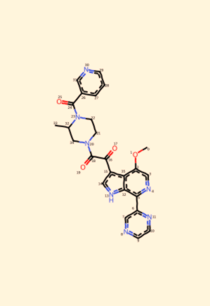 COc1cnc(-c2cnccn2)c2[nH]cc(C(=O)C(=O)N3CCN(C(=O)c4cccnc4)C(C)C3)c12